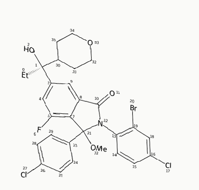 CC[C@@](O)(c1cc(F)c2c(c1)C(=O)N(c1ccc(Cl)cc1Br)C2(OC)c1ccc(Cl)cc1)C1CCOCC1